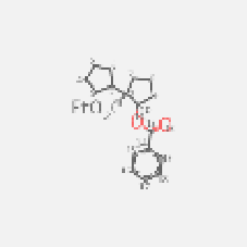 CCOC(=O)C1(C2CCCC2)CCCC1OC(=O)c1ccccc1